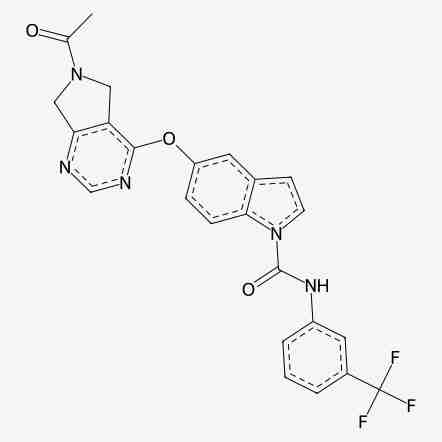 CC(=O)N1Cc2ncnc(Oc3ccc4c(ccn4C(=O)Nc4cccc(C(F)(F)F)c4)c3)c2C1